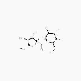 OCC1O[C@H](O[C@]2(CCl)O[C@H](CCl)C(O)[C@H]2O)C(O)[C@H](O)[C@H]1Cl